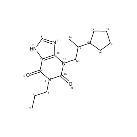 CCCn1c(=O)c2[nH]cnc2n(CC(C)C2CCCC2)c1=O